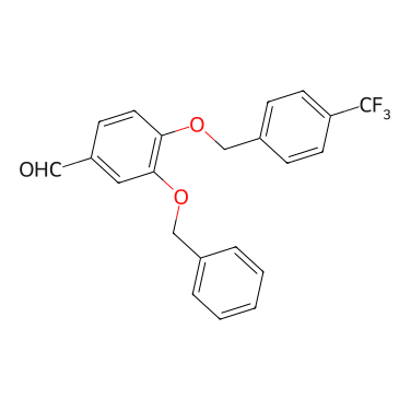 O=Cc1ccc(OCc2ccc(C(F)(F)F)cc2)c(OCc2ccccc2)c1